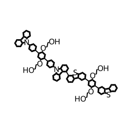 OCCOc1cc(-c2ccc(-n3c4ccccc4c4c(-c5cccc6c5sc5ccc(-c7cc(OCCO)c(-c8ccc9sc%10ccccc%10c9c8)cc7OCCO)cc56)cccc43)cc2)c(OCCO)cc1-c1ccc(-n2c3ccccc3c3ccccc32)cc1